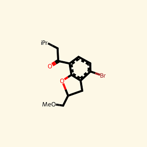 COCC1Cc2c(Br)ccc(C(=O)CC(C)C)c2O1